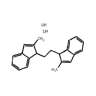 CC1=Cc2ccccc2C1CCC1C(C)=Cc2ccccc21.[LiH].[LiH]